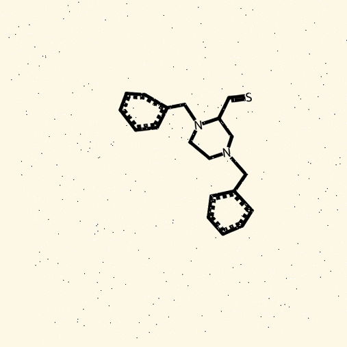 S=CC1CN(Cc2ccccc2)CCN1Cc1ccccc1